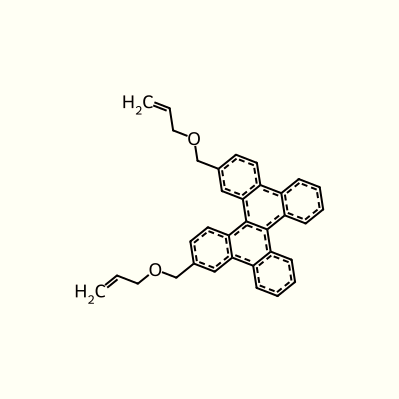 C=CCOCc1ccc2c(c1)c1ccccc1c1c3ccccc3c3ccc(COCC=C)cc3c21